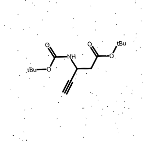 C#CC(CC(=O)OC(C)(C)C)NC(=O)OC(C)(C)C